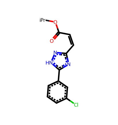 CC(C)OC(=O)/C=C\c1n[nH]c(-c2cccc(Cl)c2)n1